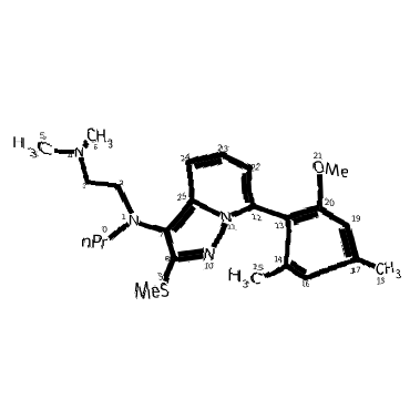 CCCN(CCN(C)C)c1c(SC)nn2c(-c3c(C)cc(C)cc3OC)cccc12